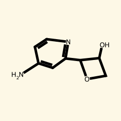 Nc1ccnc(C2OCC2O)c1